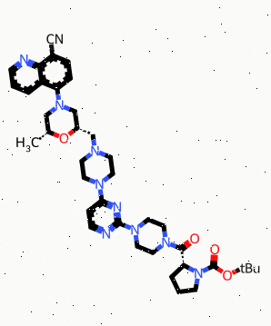 C[C@@H]1CN(c2ccc(C#N)c3ncccc23)C[C@H](CN2CCN(c3ccnc(N4CCN(C(=O)[C@H]5CCCN5C(=O)OC(C)(C)C)CC4)n3)CC2)O1